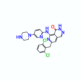 O=c1[nH]ncc2cc(Cc3c(Cl)cccc3Cl)nc(Nc3ccc(N4CCNCC4)cn3)c12